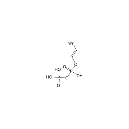 CCCC=COP(=O)(O)OP(=O)(O)O